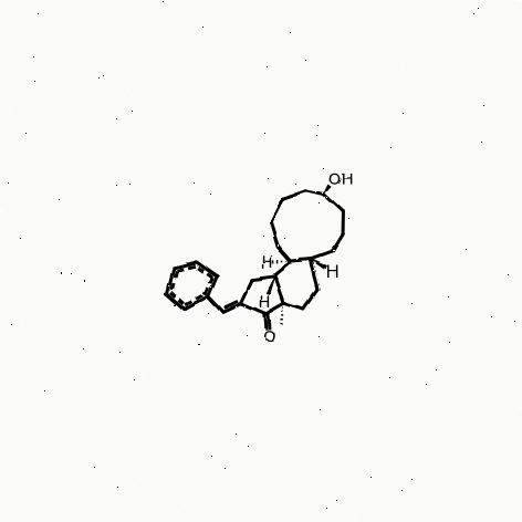 C[C@@]12CC[C@H]3CCC[C@H](O)CCCC[C@@H]3[C@H]1C/C(=C\c1ccccc1)C2=O